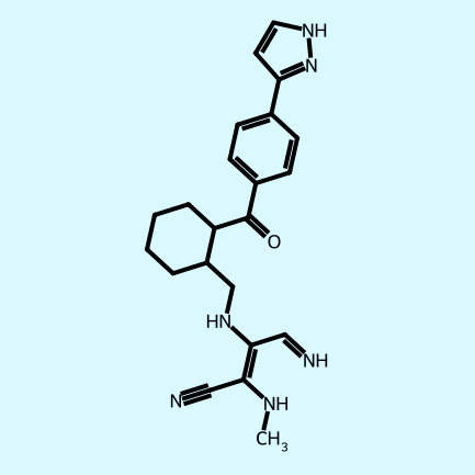 CN/C(C#N)=C(\C=N)NCC1CCCCC1C(=O)c1ccc(-c2cc[nH]n2)cc1